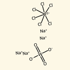 [Cl][Ir-2]([Cl])([Cl])([Cl])([Cl])[Cl].[Na+].[Na+].[Na+].[Na+].[O]=[W](=[O])([O-])[O-]